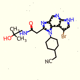 CC(C)(O)CNC(=O)Cc1nc2cnc3[nH]cc(Br)c3c2n1C1CCC(CC#N)CC1